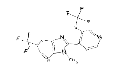 Cn1c(-c2ccncc2SC(F)(F)F)nc2cc(C(F)(F)F)cnc21